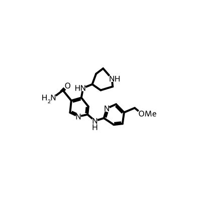 COCc1ccc(Nc2cc(NC3CCNCC3)c(C(N)=O)cn2)nc1